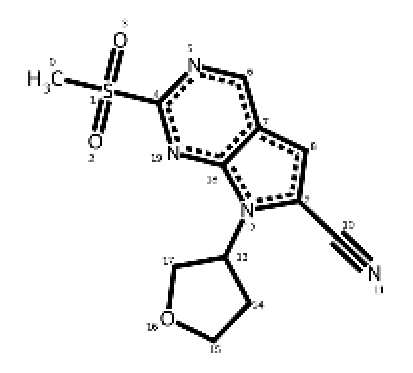 CS(=O)(=O)c1ncc2cc(C#N)n(C3CCOC3)c2n1